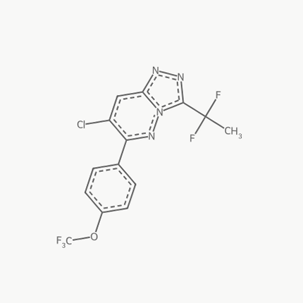 CC(F)(F)c1nnc2cc(Cl)c(-c3ccc(OC(F)(F)F)cc3)nn12